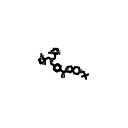 Cn1ccnc1CN(Cc1ccc(C(=O)N2CCC3(CCN(CC(C)(C)C)CC3)C2)cc1)Cc1nccn1C